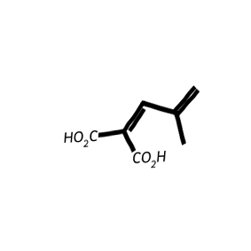 C=C(C)C=C(C(=O)O)C(=O)O